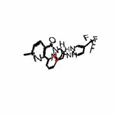 Cc1ccc(C(=O)N2CC3CC[C@H]2[C@H](Nc2ccc(C(F)(F)F)cn2)C3)c(-c2ccccn2)n1